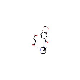 O=C(N[C@H]1CN2CCC1CC2)c1ccc2c(c1)OCCO2.O=C(O)C=CC(=O)O